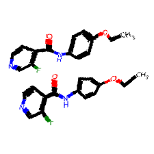 CCOc1ccc(NC(=O)c2ccncc2F)cc1.CCOc1ccc(NC(=O)c2ccncc2F)cc1